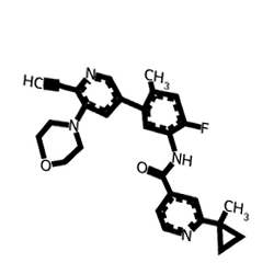 C#Cc1ncc(-c2cc(NC(=O)c3ccnc(C4(C)CC4)c3)c(F)cc2C)cc1N1CCOCC1